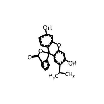 CC(C)c1cc2c(cc1O)Oc1cc(O)ccc1C21OC(=O)c2ccccc21